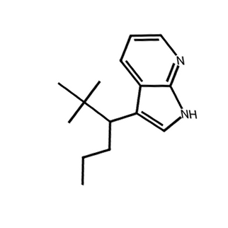 CCCC(c1c[nH]c2ncccc12)C(C)(C)C